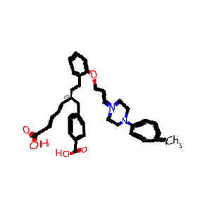 Cc1ccc(N2CCN(CCCOc3ccccc3CC[C@H](CCCCC(=O)O)Cc3ccc(C(=O)O)cc3)CC2)cc1